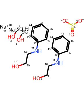 O=S(=O)(O)O.O=S(=O)(O)O.O=S([O-])[O-].OCCNc1ccccc1.OCCNc1ccccc1.[Na+].[Na+]